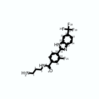 NCCCNC(=O)c1ccc(-c2nc3ccc(C(F)(F)F)cc3[nH]2)c(F)c1